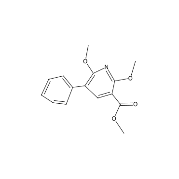 COC(=O)c1cc(-c2ccccc2)c(OC)nc1OC